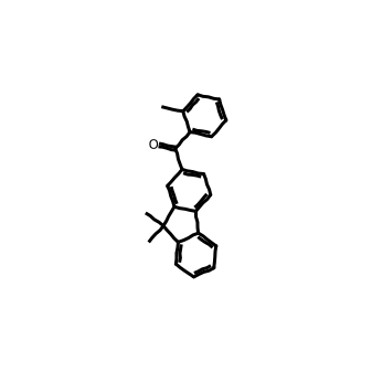 Cc1ccccc1C(=O)c1ccc2c(c1)C(C)(C)c1ccccc1-2